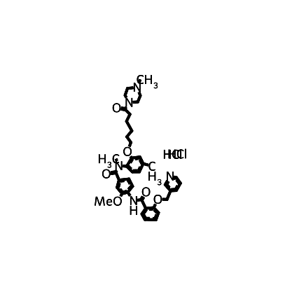 COc1cc(C(=O)N(C)c2ccc(C)cc2OCCCCCC(=O)N2CCN(C)CC2)ccc1NC(=O)c1ccccc1OCc1cccnc1.Cl.Cl